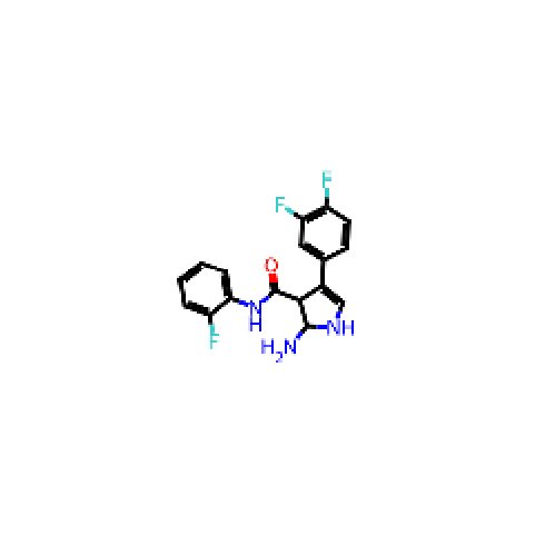 NC1NC=C(c2ccc(F)c(F)c2)C1C(=O)Nc1ccccc1F